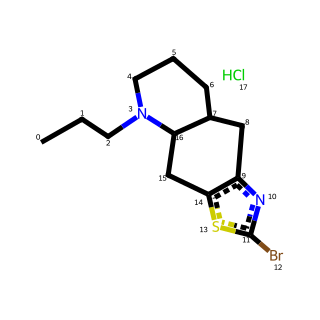 CCCN1CCCC2Cc3nc(Br)sc3CC21.Cl